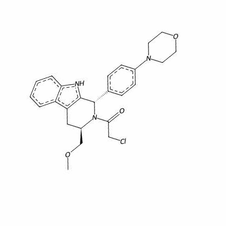 COC[C@H]1Cc2c([nH]c3ccccc23)[C@H](c2ccc(N3CCOCC3)cc2)N1C(=O)CCl